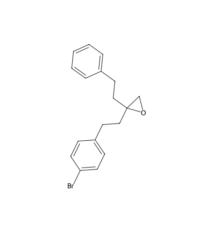 Brc1ccc(CCC2(CCc3ccccc3)CO2)cc1